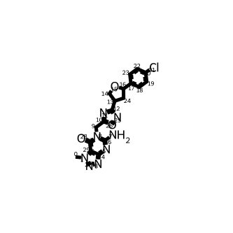 Cn1nnc2nc(N)n(Cc3nc(C4COC(c5ccc(Cl)cc5)C4)no3)c(=O)c21